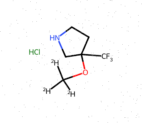 Cl.[2H]C([2H])([2H])OC1(C(F)(F)F)CCNC1